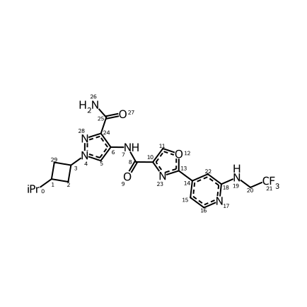 CC(C)C1CC(n2cc(NC(=O)c3coc(-c4ccnc(NCC(F)(F)F)c4)n3)c(C(N)=O)n2)C1